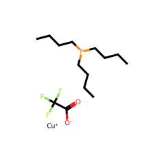 CCCCP(CCCC)CCCC.O=C([O-])C(F)(F)F.[Cu+]